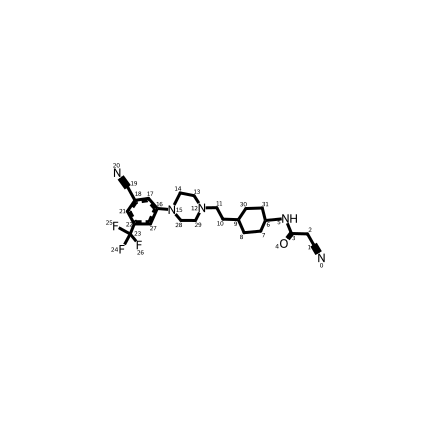 N#CCC(=O)NC1CCC(CCN2CCN(c3cc(C#N)cc(C(F)(F)F)c3)CC2)CC1